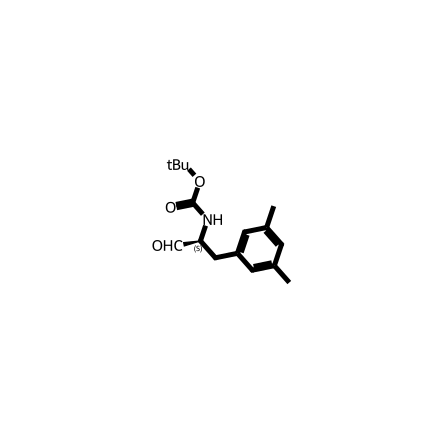 Cc1cc(C)cc(C[C@@H](C=O)NC(=O)OC(C)(C)C)c1